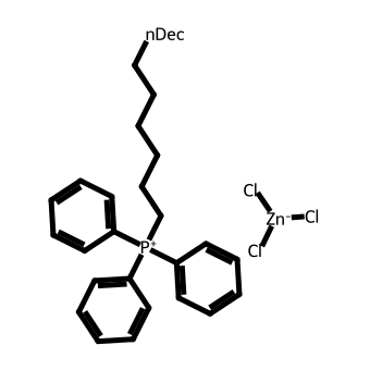 CCCCCCCCCCCCCCCC[P+](c1ccccc1)(c1ccccc1)c1ccccc1.[Cl][Zn-]([Cl])[Cl]